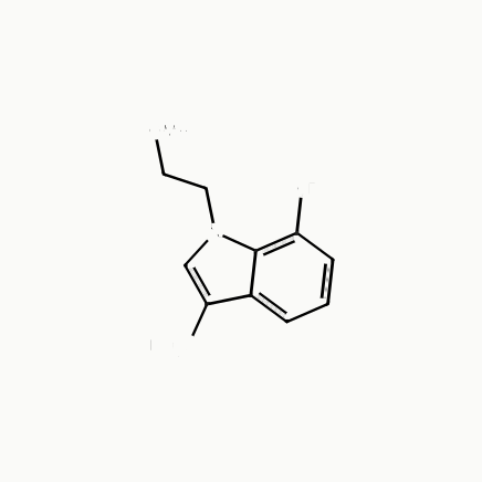 COCCn1cc(C(=O)O)c2cccc(C(F)(F)F)c21